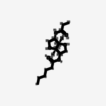 CCCCCC(=O)O[C@@H]1CO[C@H]2[C@@H]1OC[C@@H]2OC(=O)CC